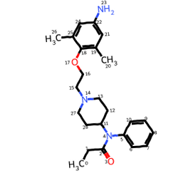 CCC(=O)N(c1ccccc1)C1CCN(CCOc2c(C)cc(N)cc2C)CC1